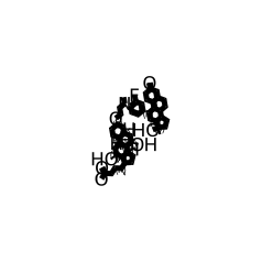 COC(=O)CC[C@@H](C)C1CC[C@H]2[C@@H]3[C@H](O)C[C@@H]4C[C@@H](OCCN(C)c5ccc([C@H]6C[C@@]7(C)C(CC[C@]7(C)O)C7CCC8=CC(=O)CCC8=C76)cc5F)CC[C@]4(C)[C@H]3C[C@H](O)[C@]12C